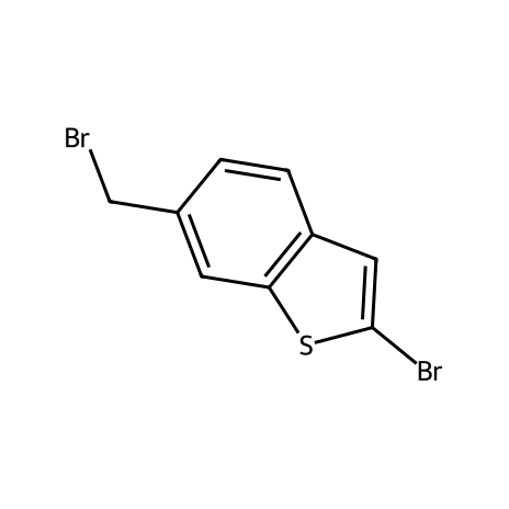 BrCc1ccc2cc(Br)sc2c1